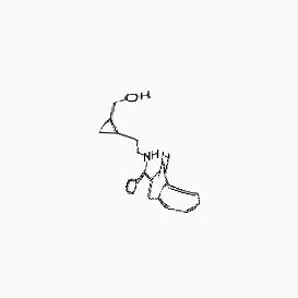 O=C(NCCC1CC1CO)c1cc2ccccc2[nH]1